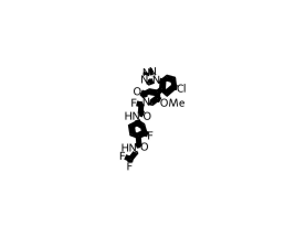 COc1cn(C(F)C(=O)Nc2ccc(C(=O)NCC(F)F)c(F)c2)c(=O)cc1-c1cc(Cl)ccc1-n1cnnn1